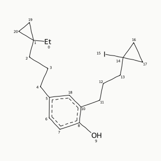 CCC1(CCCc2ccc(O)c(CCCC3(I)CC3)c2)CC1